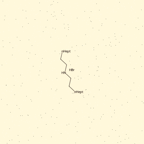 Br.CCCCCCCCCNCCCCCCCCC